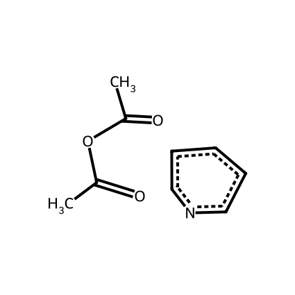 CC(=O)OC(C)=O.c1ccncc1